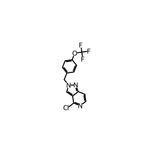 FC(F)(F)Oc1ccc(Cn2cc3c(Cl)nccc3n2)cc1